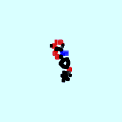 COC(=O)[C@H](CO)NC(=O)[C@H]1CC[C@H](O[Si](C)(C)C(C)(C)C)CC1